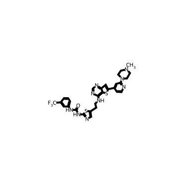 CN1CCN(c2cc(-c3cc4ncnc(NCCc5cnc(NC(=O)Nc6cccc(C(F)(F)F)c6)s5)c4s3)ccn2)CC1